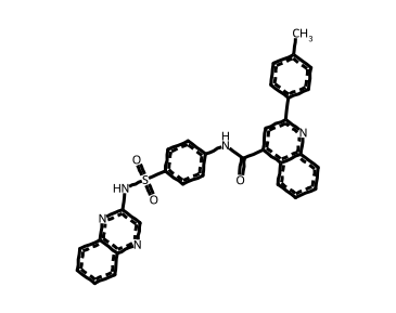 Cc1ccc(-c2cc(C(=O)Nc3ccc(S(=O)(=O)Nc4cnc5ccccc5n4)cc3)c3ccccc3n2)cc1